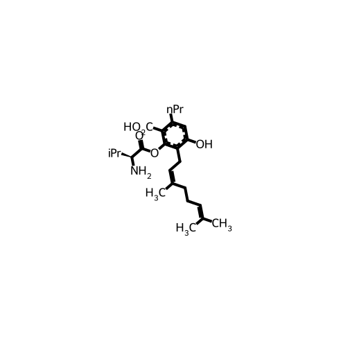 CCCc1cc(O)c(CC=C(C)CCC=C(C)C)c(OC(=O)[C@@H](N)C(C)C)c1C(=O)O